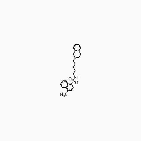 Cc1ccc(S(=O)(=O)NCCCCCN2CCc3ccccc3C2)c2ccccc12